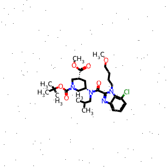 COCCCCn1c(C(=O)N(CC(C)C)[C@H]2C[C@@H](C(=O)OC)CN(C(=O)OC(C)(C)C)C2)nc2cccc(Cl)c21